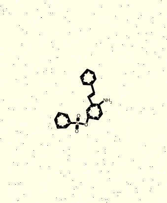 Nc1ccc(OS(=O)(=O)c2ccccc2)cc1/C=C/c1ccccc1